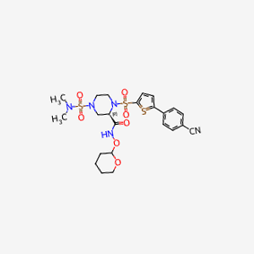 CN(C)S(=O)(=O)N1CCN(S(=O)(=O)c2ccc(-c3ccc(C#N)cc3)s2)[C@@H](C(=O)NOC2CCCCO2)C1